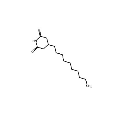 CCCCCCCCCCC1CC(=O)NC(=O)C1